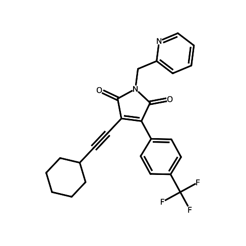 O=C1C(C#CC2CCCCC2)=C(c2ccc(C(F)(F)F)cc2)C(=O)N1Cc1ccccn1